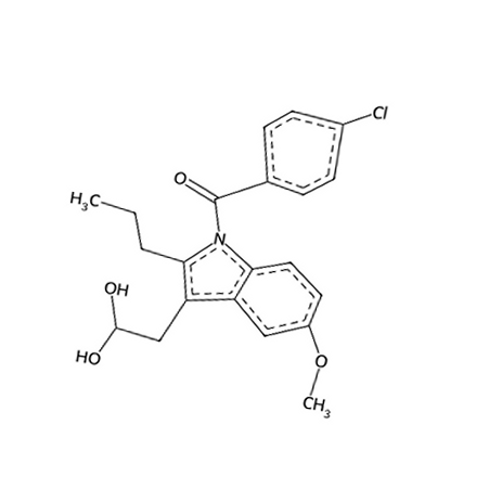 CCCc1c(CC(O)O)c2cc(OC)ccc2n1C(=O)c1ccc(Cl)cc1